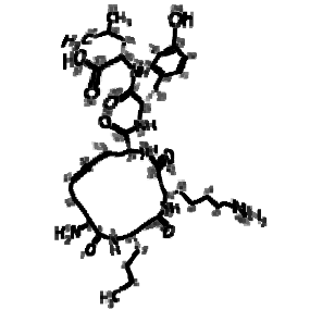 CCCC[C@@H]1NC(=O)[C@@H](N)C/C=C/C[C@@H](C(=O)N[C@@H](Cc2ccc(O)cc2)C(=O)N[C@@H](CC(C)C)C(=O)O)NC(=O)[C@H](CCCCN)NC1=O